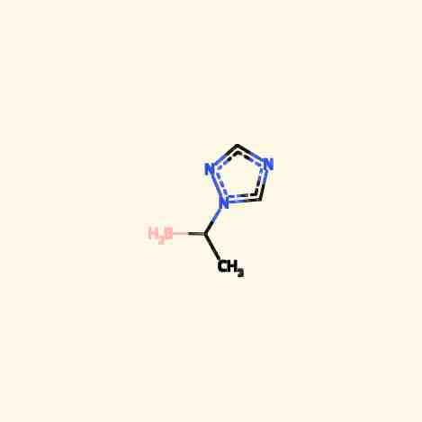 BC(C)n1cncn1